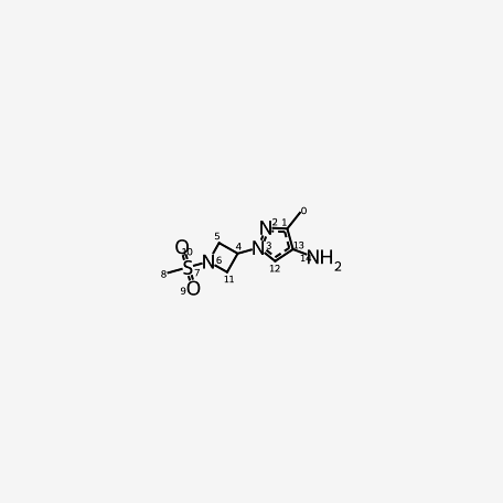 Cc1nn(C2CN(S(C)(=O)=O)C2)cc1N